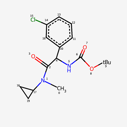 CN(C(=O)C(NC(=O)OC(C)(C)C)c1cccc(Cl)c1)C1CC1